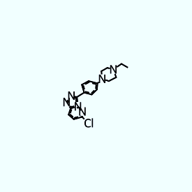 CCN1CCN(c2ccc(-c3nnc4ccc(Cl)nn34)cc2)CC1